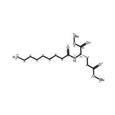 CC(C)(C)OC(=O)CC[C@H](NC(=O)CCCCCCCN)C(=O)OC(C)(C)C